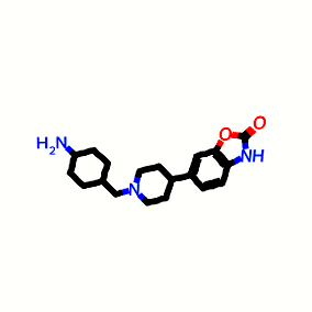 NC1CCC(CN2CCC(c3ccc4[nH]c(=O)oc4c3)CC2)CC1